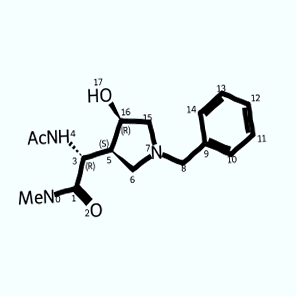 CNC(=O)[C@H](NC(C)=O)[C@@H]1CN(Cc2ccccc2)C[C@@H]1O